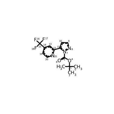 CC(C)(C)OC(=O)n1nccc1-c1cc(C(F)(F)F)ccn1